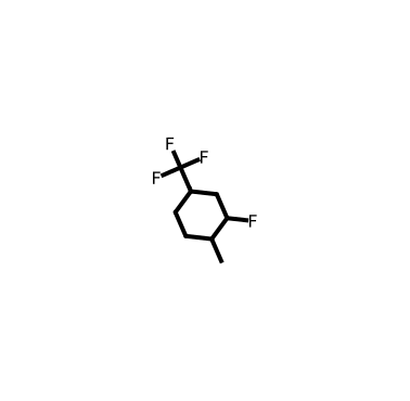 CC1CC[C](C(F)(F)F)CC1F